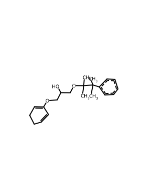 CC(C)(OCC(O)COC1=CCCC=C1)C(C)(C)c1ccccc1